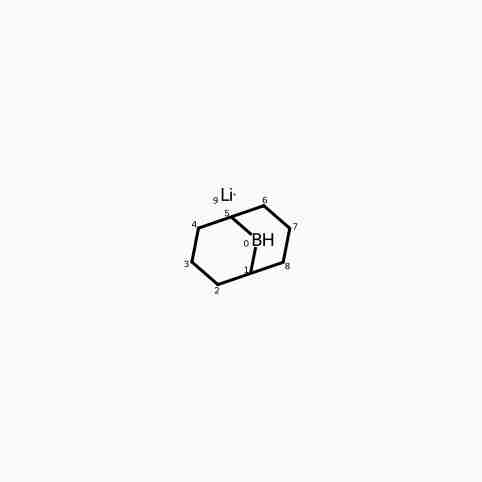 B1C2CCCC1CCC2.[Li]